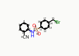 N#Cc1ccccc1NS(=O)(=O)c1ccc(CBr)cc1